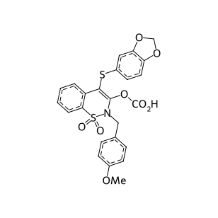 COc1ccc(CN2C(OC(=O)O)=C(Sc3ccc4c(c3)OCO4)c3ccccc3S2(=O)=O)cc1